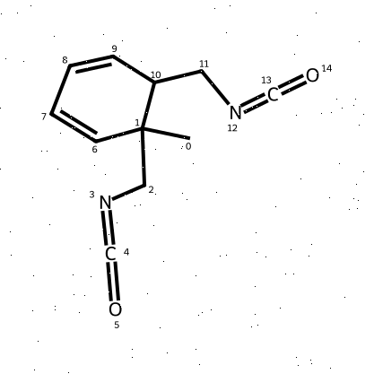 CC1(CN=C=O)C=CC=CC1CN=C=O